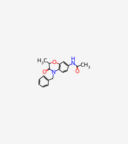 CC(=O)Nc1ccc2c(c1)OC(C)C(=O)N2Cc1ccccc1